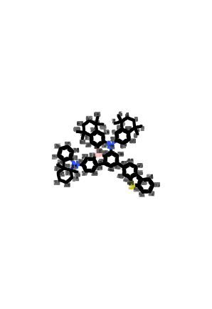 CC1(C)CCC(C)(C)c2cc(N3c4cc5c(cc4B4c6cc(N7c8ccccc8C8(C)CCCCC78C)ccc6-c6cc(-c7ccc8c(c7)sc7ccccc78)cc3c64)C(C)(C)CCC5(C)C)ccc21